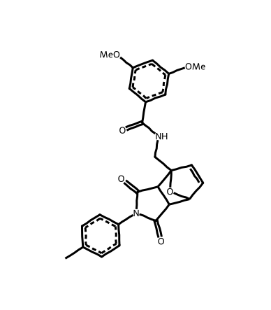 COc1cc(OC)cc(C(=O)NCC23C=CC(O2)C2C(=O)N(c4ccc(C)cc4)C(=O)C23)c1